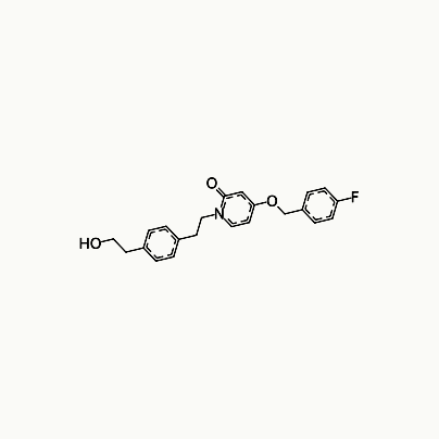 O=c1cc(OCc2ccc(F)cc2)ccn1CCc1ccc(CCO)cc1